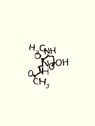 CNC(CC(=O)O)C(=O)NCCC(C)=O